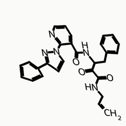 C=CCNC(=O)C(=O)C(Cc1ccccc1)NC(=O)c1cccnc1-n1ccc(-c2ccccc2)n1